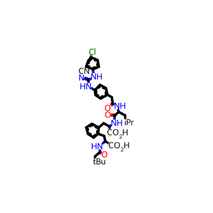 CC(C)CC(NC(=O)Cc1ccc(NC(=NC#N)Nc2ccc(Cl)cc2)cc1)C(=O)NC(Cc1ccccc1CC(NC(=O)CC(C)(C)C)C(=O)O)C(=O)O